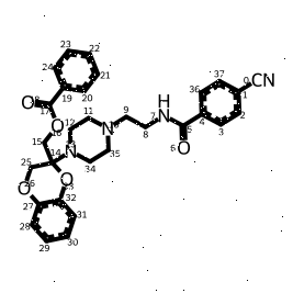 N#Cc1ccc(C(=O)NCCN2CCN(C3(COC(=O)c4ccccc4)COc4ccccc4O3)CC2)cc1